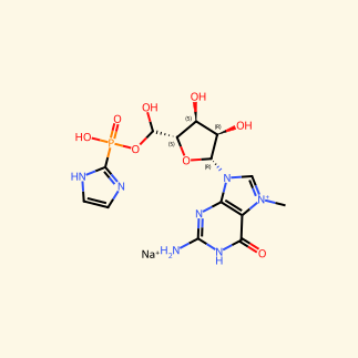 C[n+]1cn([C@@H]2O[C@H](C(O)OP(=O)(O)c3ncc[nH]3)[C@@H](O)[C@H]2O)c2nc(N)[nH]c(=O)c21.[Na+]